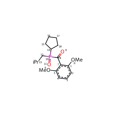 COc1cccc(OC)c1C(=O)P(=O)(CC(C)C)C1CCCC1